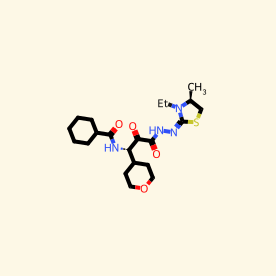 CCN1C(=NNC(=O)C(=O)[C@@H](NC(=O)C2CCCCC2)C2CCOCC2)SC[C@@H]1C